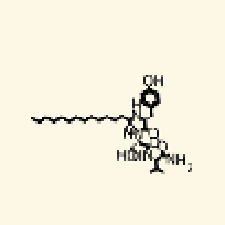 CCCCCCCCCCCCCC(=O)N[C@@H](Cc1ccc(O)cc1)C(=O)N[C@@H](CO)C(=O)N[C@H](C(N)=O)C(C)C